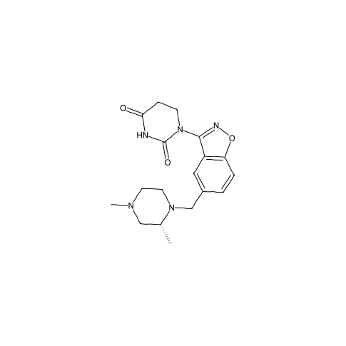 C[C@@H]1CN(C)CCN1Cc1ccc2onc(N3CCC(=O)NC3=O)c2c1